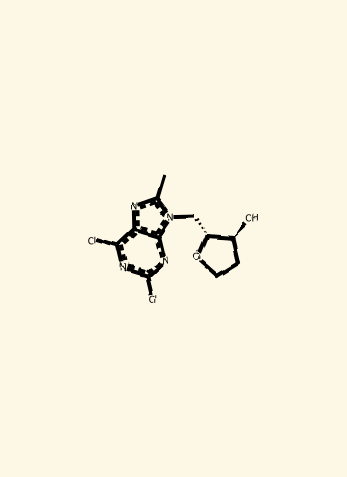 Cc1nc2c(Cl)nc(Cl)nc2n1C[C@H]1OCC[C@@H]1O